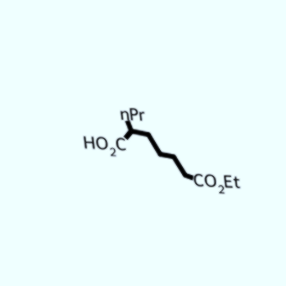 CCCC(CCCCC(=O)OCC)C(=O)O